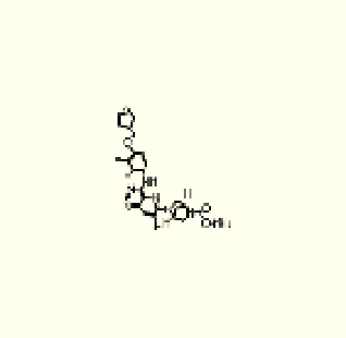 CC(C)(C)OC(=O)N1C[C@@H]2C[C@H]1CN2c1nc2c(Nc3ccc(OC[C@H]4CCOC4)c(F)c3F)ncnc2cc1F